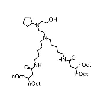 CCCCCCCCC(CCCCCCCC)CC(=O)NCCCCCN(CCCCCNC(=O)CC(CCCCCCCC)CCCCCCCC)CCN(CCO)C1CCCC1